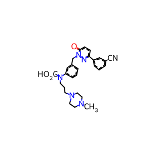 CN1CCN(CCCN(C(=O)O)c2cccc(Cn3nc(-c4cccc(C#N)c4)ccc3=O)c2)CC1